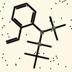 C=Cc1ccccc1N([Si](C)(C)C)[Si](C)(C)C(C)(C)C